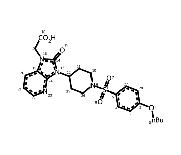 CCCCOc1ccc(S(=O)(=O)N2CCC(n3c(=O)n(CC(=O)O)c4cccnc43)CC2)cc1